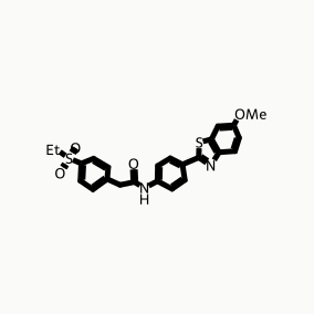 CCS(=O)(=O)c1ccc(CC(=O)Nc2ccc(-c3nc4ccc(OC)cc4s3)cc2)cc1